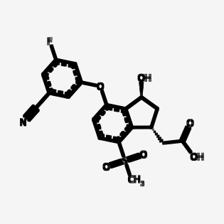 CS(=O)(=O)c1ccc(Oc2cc(F)cc(C#N)c2)c2c1[C@@H](CC(=O)O)C[C@@H]2O